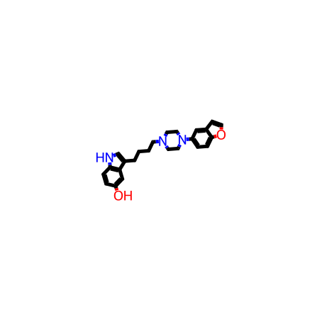 Oc1ccc2[nH]cc(CCCCN3CCN(c4ccc5occc5c4)CC3)c2c1